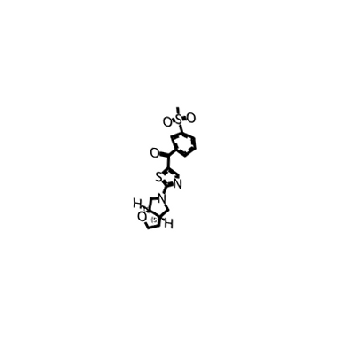 CS(=O)(=O)c1cccc(C(=O)c2cnc(N3C[C@@H]4CCO[C@@H]4C3)s2)c1